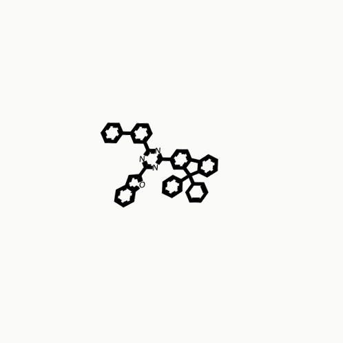 C1=CCC(C2(c3ccccc3)c3ccccc3-c3ccc(-c4nc(-c5cccc(-c6ccccc6)c5)nc(-c5cc6ccccc6o5)n4)cc32)C=C1